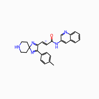 Cc1ccc(C2=NC3(CCNCC3)N=C2/C=C/C(=O)Nc2cnc3ccccc3c2)cc1